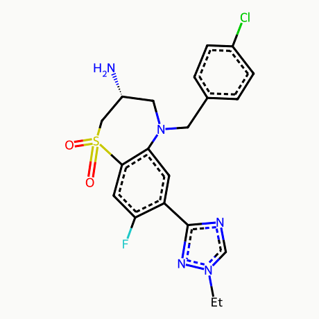 CCn1cnc(-c2cc3c(cc2F)S(=O)(=O)C[C@H](N)CN3Cc2ccc(Cl)cc2)n1